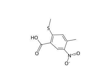 CSc1cc(C)c([N+](=O)[O-])cc1C(=O)O